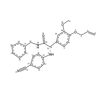 C=CCOc1ccc([C@H](Nc2ccc(C#N)cc2)C(=O)NCc2ccccc2)cc1OC